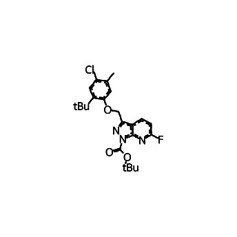 Cc1cc(OCc2nn(C(=O)OC(C)(C)C)c3nc(F)ccc23)c(C(C)(C)C)cc1Cl